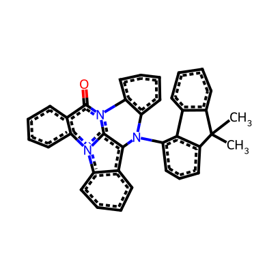 CC1(C)c2ccccc2-c2c(N3c4ccccc4-n4c(=O)c5ccccc5n5c6ccccc6c3c45)cccc21